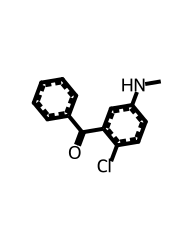 CNc1ccc(Cl)c(C(=O)c2ccccc2)c1